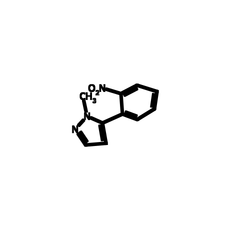 Cn1nccc1-c1ccccc1[N+](=O)[O-]